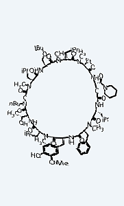 CCCCN1CC(=O)N(C)[C@@H](CC(C)C)C(=O)N[C@@H](COC(C)(C)C)C(=O)N(C)[C@@H](CC(C)C)C(=O)N(C)[C@@H](CC)C(=O)N[C@H](C(=O)N2CCCCC2)CC(=O)N[C@H](CC(C)C)C(=O)N(C)[C@@H](Cc2ccccc2)C(=O)N[C@@H](Cc2ccc(O)c(OC)c2)C(=O)N(C)[C@@H](CC(C)C)C(=O)N[C@@H]([C@@H](C)O)C1=O